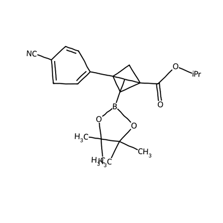 CC(C)OC(=O)C12CC(c3ccc(C#N)cc3)(C1)C2B1OC(C)(C)C(C)(C)O1